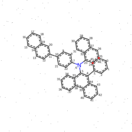 c1ccc(-c2c(N(c3ccc(-c4ccc5ccccc5c4)cc3)c3cccc4ccccc34)c3ccccc3c3ccccc23)cc1